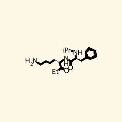 CCC(=O)[C@H](CCCCN)NC(=O)[C@H](Cc1ccccc1)NC(C)C